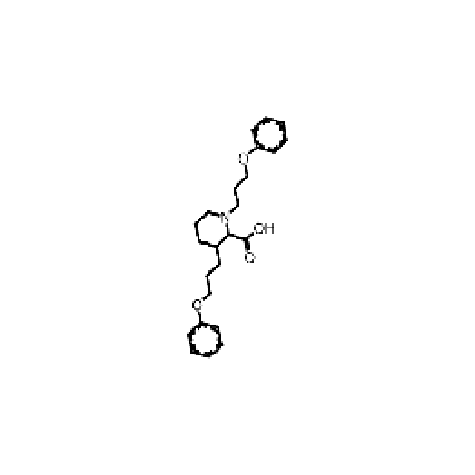 O=C(O)C1C(CCCOc2ccccc2)CCCN1CCCOc1ccccc1